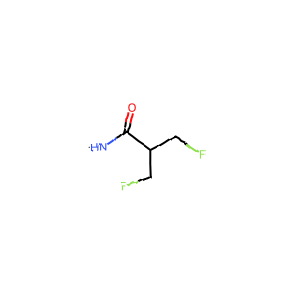 [NH]C(=O)C(CF)CF